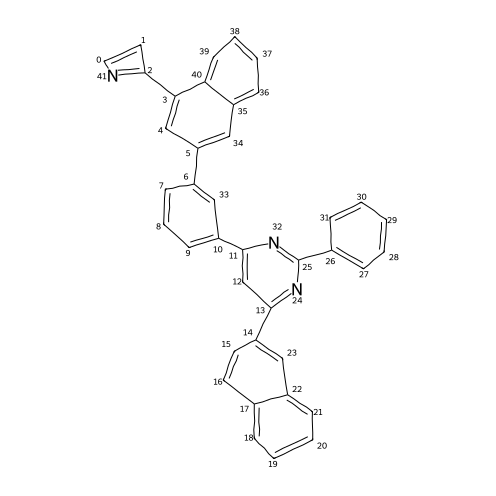 C1=CC(c2cc(-c3cccc(-c4cc(-c5ccc6ccccc6c5)nc(-c5ccccc5)n4)c3)cc3ccccc23)=N1